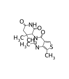 Cc1scc2c(=O)n(C3C(=O)NC(=O)CC3(C)C)c(C)nc12